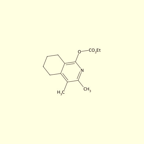 CCOC(=O)Oc1nc(C)c(C)c2c1CCCC2